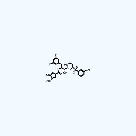 CCCCN1CC(C(=O)NC(Cc2cc(F)cc(F)c2)[C@H](O)[C@H]2CN(S(=O)(=O)c3cccc(C#N)c3)CCN2)CC1=O